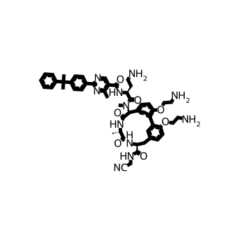 Cc1nc(-c2ccc(C(C)(C)c3ccccc3)cc2)ncc1C(=O)N[C@@H](CCN)C(=O)N(C)[C@@H]1C(=O)N[C@@H](C)C(=O)N[C@H](C(=O)NCC#N)Cc2ccc(OCCN)c(c2)-c2cc1ccc2OCCN